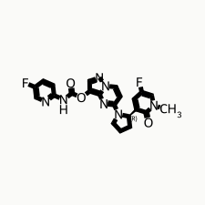 Cn1cc(F)cc([C@H]2CCCN2c2ccn3ncc(OC(=O)Nc4ccc(F)cn4)c3n2)c1=O